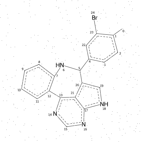 Cc1ccc(C2Nc3ccccc3-c3ncnc4[nH]cc2c34)cc1Br